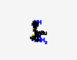 CCCCc1nc2c(N)nc3ccsc3c2n1CCCCCN1CCNCC1